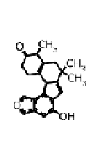 CC1C(=O)CCC2=C1CC(C)(C)C1=Cc3c(O)cc4cocc4c3C12